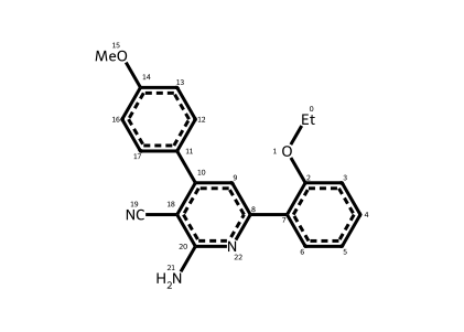 CCOc1ccccc1-c1cc(-c2ccc(OC)cc2)c(C#N)c(N)n1